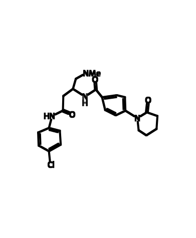 CNCC(CC(=O)Nc1ccc(Cl)cc1)NC(=O)c1ccc(N2CCCCC2=O)cc1